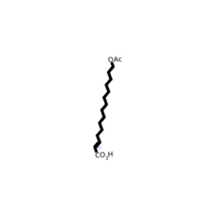 CC(=O)OCCCCCCCCCCCC/C=C/C(=O)O